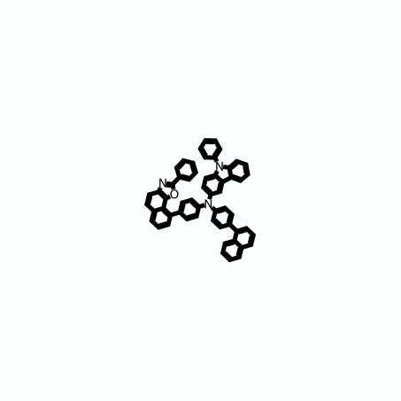 c1ccc(-c2nc3ccc4cccc(-c5ccc(N(c6ccc(-c7cccc8ccccc78)cc6)c6ccc7c(c6)c6ccccc6n7-c6ccccc6)cc5)c4c3o2)cc1